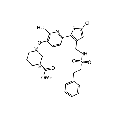 COC(=O)[C@H]1CCC[C@H](Oc2ccc(-c3sc(Cl)cc3CNS(=O)(=O)CCc3ccccc3)nc2C)C1